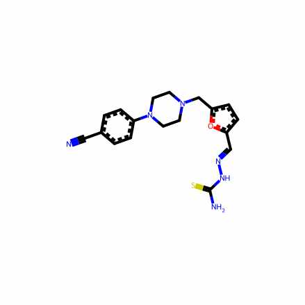 N#Cc1ccc(N2CCN(Cc3ccc(C=NNC(N)=S)o3)CC2)cc1